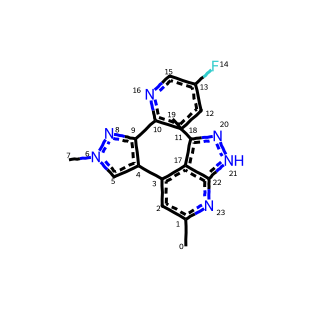 Cc1cc(-c2cn(C)nc2-c2ccc(F)cn2)c2c(C)n[nH]c2n1